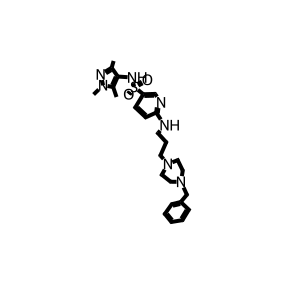 Cc1nn(C)c(C)c1NS(=O)(=O)c1ccc(NCCCN2CCN(Cc3ccccc3)CC2)nc1